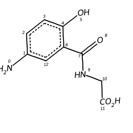 Nc1ccc(O)c(C(=O)NCC(=O)O)c1